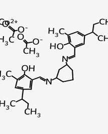 CC(=O)[O-].CC(=O)[O-].CCC(C)c1cc(C)c(O)c(C=NC2CCCC(N=Cc3cc(C(C)CC)cc(C)c3O)C2)c1.[Co+2]